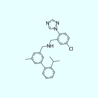 Cc1cc(CNCc2cc(Cl)ccc2-n2cncn2)cc(-c2ccccc2C(C)C)c1